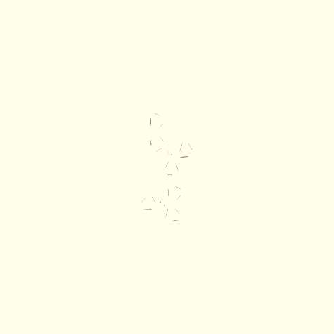 c1ccc(-n2c3ccccc3c3ccc(-c4ccc5c(c4)c4ccccc4n5-c4ccc5oc6ccccc6c5c4)cc32)cc1